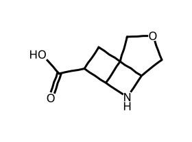 O=C(O)C1CC23COCC2NC13